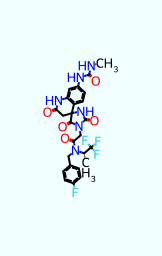 CNC(=O)Nc1ccc2c(c1)NC(=O)CC21NC(=O)N(CC(=O)N(Cc2ccc(F)cc2)[C@@H](C)C(F)(F)F)C1=O